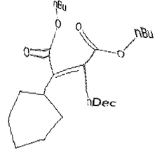 CCCCCCCCCC/C(C(=O)OCCCC)=C(/C(=O)OCCCC)C1CCCCC1